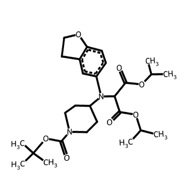 CC(C)OC(=O)C(C(=O)OC(C)C)N(c1ccc2c(c1)CCO2)C1CCN(C(=O)OC(C)(C)C)CC1